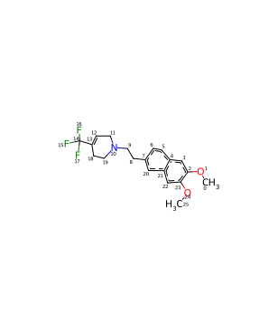 COc1cc2ccc(CCN3CC=C(C(F)(F)F)CC3)cc2cc1OC